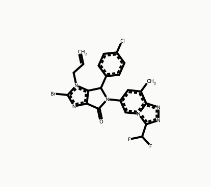 C=CCn1c(Br)nc2c1C(c1ccc(Cl)cc1)N(c1cc(C)c3nnc(C(F)F)n3c1)C2=O